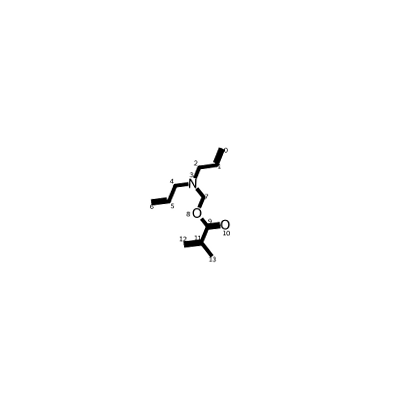 C=CCN(CC=C)COC(=O)C(=C)C